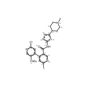 COc1cnc(Cl)cc1-c1cc(C)ncc1C(=O)Nc1nnc(C2CCN(C)CC2)s1